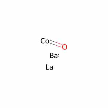 [Ba].[La].[O]=[Co]